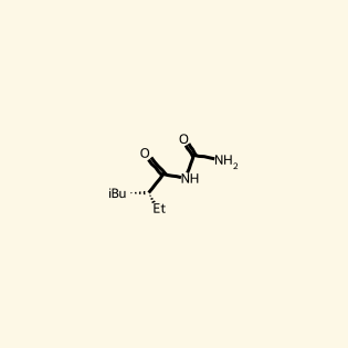 CC[C@@H](C)[C@@H](CC)C(=O)NC(N)=O